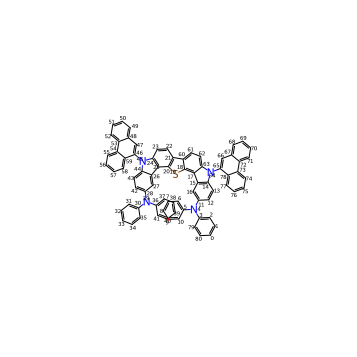 c1ccc(N(c2ccccc2)c2ccc3c(c2)c2c4sc5c(ccc6c5c5cc(N(c7ccccc7)c7ccccc7)ccc5n6-c5cc6ccccc6c6ccccc56)c4ccc2n3-c2cc3ccccc3c3ccccc23)cc1